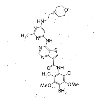 Bc1c(OC)c(C)c(NC(=O)c2csc3c(Nc4cc(NCCN5CCOCC5)nc(C)n4)ncnc23)c(Cl)c1OC